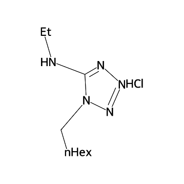 CCCCCCCn1nnnc1NCC.Cl